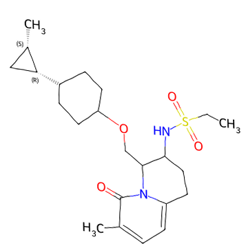 CCS(=O)(=O)NC1CCc2ccc(C)c(=O)n2C1COC1CCC([C@@H]2C[C@@H]2C)CC1